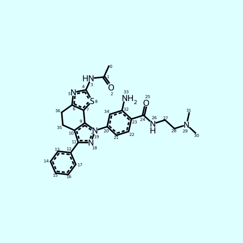 CC(=O)Nc1nc2c(s1)-c1c(c(-c3ccccc3)nn1-c1ccc(C(=O)NCCN(C)C)c(N)c1)CC2